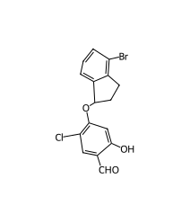 O=Cc1cc(Cl)c(OC2CCc3c(Br)cccc32)cc1O